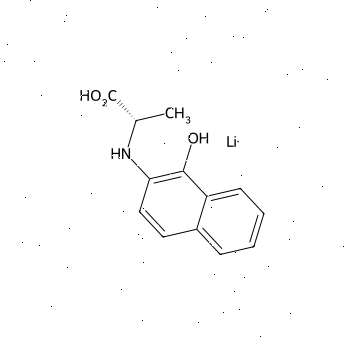 C[C@H](Nc1ccc2ccccc2c1O)C(=O)O.[Li]